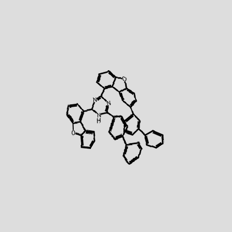 c1ccc(-c2ccc(C3=NC(c4cccc5oc6ccc(-c7cccc(-c8ccccc8)c7)cc6c45)=NC(c4cccc5oc6ccccc6c45)N3)cc2)cc1